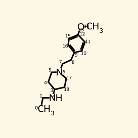 CCNC1CCN(CCc2ccc(OC)cc2)CC1